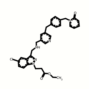 CCOC(=O)CCn1nc(CNCc2cncc(Cc3ccc(Cn4ccccc4=O)cc3)c2)c2cc(Cl)ccc21